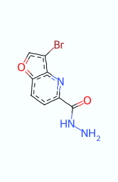 NNC(=O)c1ccc2occ(Br)c2n1